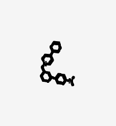 CN(C)c1ccc(C2=CC(CN3C=CC(C4=CCC=CC4)=CC3)CCC2)cc1